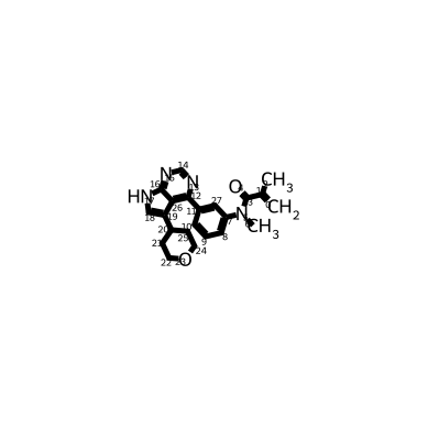 C=C(C)C(=O)N(C)c1cccc(-c2ncnc3[nH]cc(C4CCOCC4)c23)c1